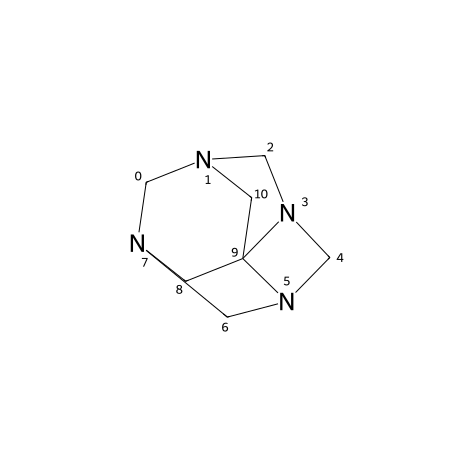 C1N2CN3CN4CN1CC34C2